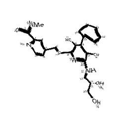 CNC(=O)c1cc(CSc2nc(NC[C@H](O)CO)c(C#N)c(-c3ccccc3)c2C#N)ccn1